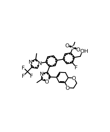 Cc1nc(-c2cc(-c3cc(F)c(CO)c(S(C)(=O)=O)c3)ccc2-n2cc(C(F)(F)F)nc2C)c(C2=CCC3OCCOC3=C2)o1